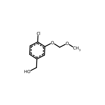 COCOc1cc(CO)ccc1Cl